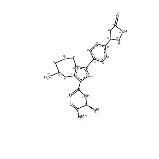 CNC(=O)[C@@H](NC(=O)c1nc(-c2ccc(C3CC(=O)NN3)cc2)n2c1CN(C)CCC2)C(C)(C)C